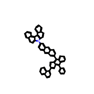 c1ccc(-c2c3ccccc3c(-c3ccc4cc5cc(-n6c7ccc8ccccc8c7c7c8ccccc8ccc76)ccc5cc4c3)c3ccc(-c4cccc5ccccc45)cc23)cc1